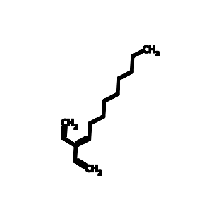 C=CC(C=C)=CCCCCCCCC